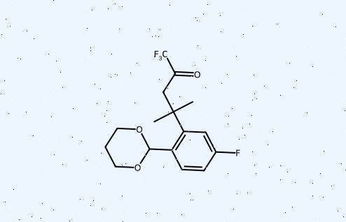 CC(C)(CC(=O)C(F)(F)F)c1cc(F)ccc1C1OCCCO1